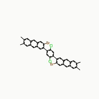 Cc1cc2cc3cc(Br)c(-c4cc(Cl)c(-c5cc6cc7cc(C)c(C)cc7cc6cc5Br)cc4Cl)cc3cc2cc1C